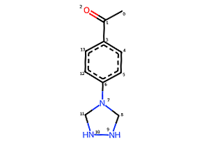 CC(=O)c1ccc(N2CNNC2)cc1